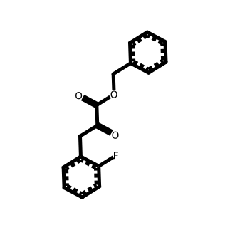 O=C(Cc1ccccc1F)C(=O)OCc1ccccc1